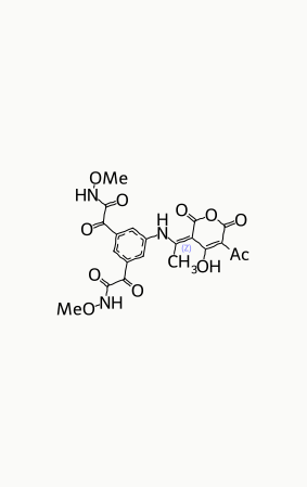 CONC(=O)C(=O)c1cc(N/C(C)=C2\C(=O)OC(=O)C(C(C)=O)=C2O)cc(C(=O)C(=O)NOC)c1